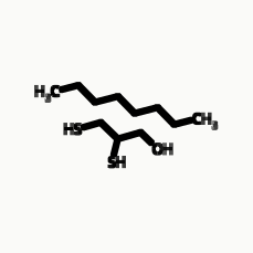 CCCCCCCC.OCC(S)CS